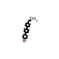 CCCc1ccc(-c2ccc(C3CCC(Br)CC3)cc2)cc1